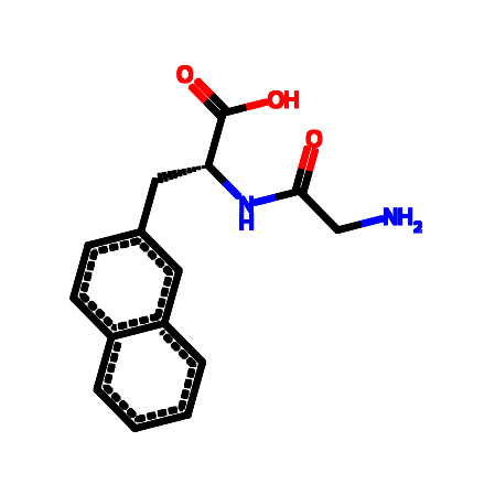 NCC(=O)N[C@H](Cc1ccc2ccccc2c1)C(=O)O